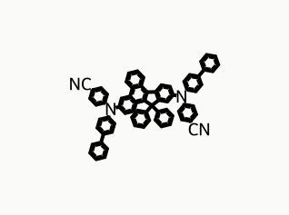 N#Cc1ccc(N(c2ccc(-c3ccccc3)cc2)c2ccc3c(c2)C(c2ccccc2)(c2ccccc2)c2c-3c3ccccc3c3cc(N(c4ccc(C#N)cc4)c4ccc(-c5ccccc5)cc4)ccc23)cc1